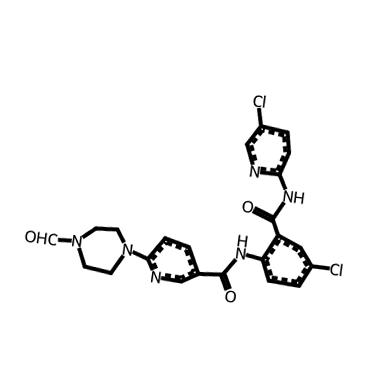 O=CN1CCN(c2ccc(C(=O)Nc3ccc(Cl)cc3C(=O)Nc3ccc(Cl)cn3)cn2)CC1